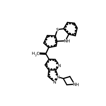 C=C(c1ccc2c(c1)Nc1ccccc1S2)c1cnc2c(cnn2C2CNC2)c1